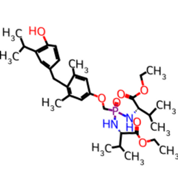 CCOC(=O)[C@@H](NP(=O)(COc1cc(C)c(Cc2ccc(O)c(C(C)C)c2)c(C)c1)N[C@H](C(=O)OCC)C(C)C)C(C)C